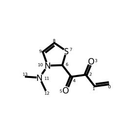 C=CC(=O)C(=O)C1SC=CN1N(C)C